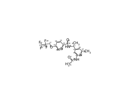 CC(=O)Nc1cc(C(C)NC(=O)c2ccc(OCC(F)(F)C(F)F)nn2)cc(C)n1